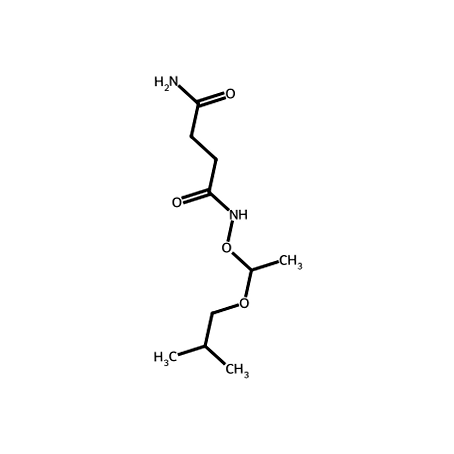 CC(C)COC(C)ONC(=O)CCC(N)=O